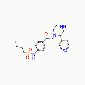 CCCCS(=O)(=O)Nc1ccc(C(=O)CN2CCNCC2c2ccncc2)cc1